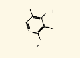 COc1ncc(F)c(O)c1I